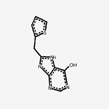 Oc1ncnc2nc(Cc3cccs3)[nH]c12